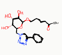 CC(C)(C)C(=O)CCCCOC1OC(Cn2cc(-c3ccccc3)nn2)[C@H](O)[C@H](O)C1O